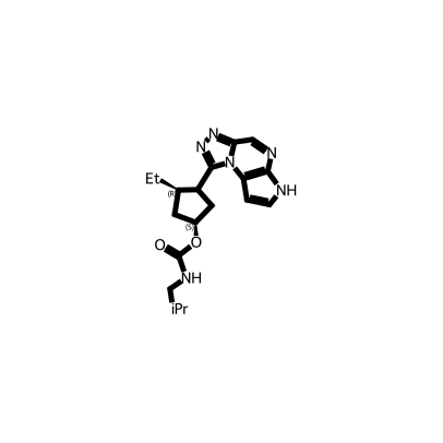 CC[C@@H]1C[C@H](OC(=O)NCC(C)C)CC1c1nnc2cnc3[nH]ccc3n12